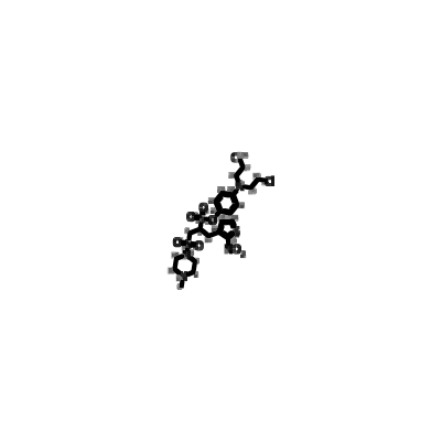 CN1CCN(S(=O)(=O)CC(Cc2ccsc2[N+](=O)[O-])S(=O)(=O)Oc2ccc(N(CCCl)CCCl)cc2)CC1